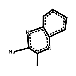 Cc1nc2ccccc2n[c]1[Na]